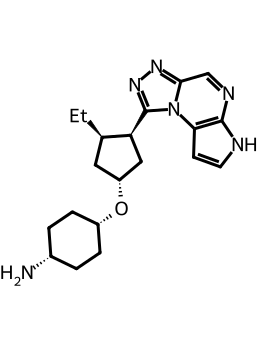 CC[C@@H]1C[C@@H](O[C@H]2CC[C@@H](N)CC2)C[C@@H]1c1nnc2cnc3[nH]ccc3n12